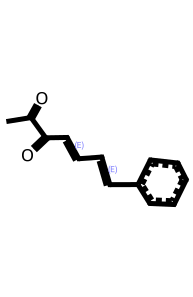 CC(=O)C(=O)/C=C/C=C/c1ccccc1